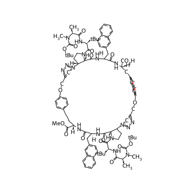 COC(=O)[C@@H]1Cc2ccc(cc2)OCc2cn(nn2)[C@@H]2CCN(C(=O)[C@@H](NC(=O)[C@H](C)N(C)C(=O)OC(C)(C)C)C(C)(C)C)[C@@H]2C(=O)N[C@@H](Cc2ccc3ccccc3c2)C(=O)N[C@H](C(=O)O)Cc2ccc(cc2)OCc2cn(nn2)C2CCN(C(=O)[C@@H](NC(=O)[C@H](C)N(C)C(=O)OC(C)(C)C)C(C)(C)C)[C@@H]2C(=O)N[C@@H](Cc2ccc3ccccc3c2)C(=O)N1